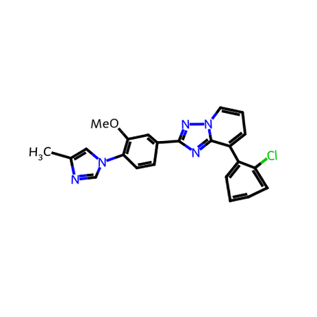 COc1cc(-c2nc3c(-c4ccccc4Cl)cccn3n2)ccc1-n1cnc(C)c1